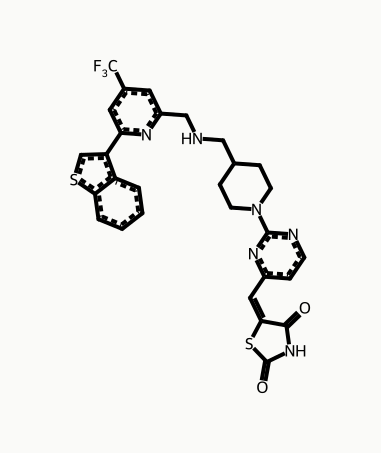 O=C1NC(=O)/C(=C\c2ccnc(N3CCC(CNCc4cc(C(F)(F)F)cc(-c5csc6ccccc56)n4)CC3)n2)S1